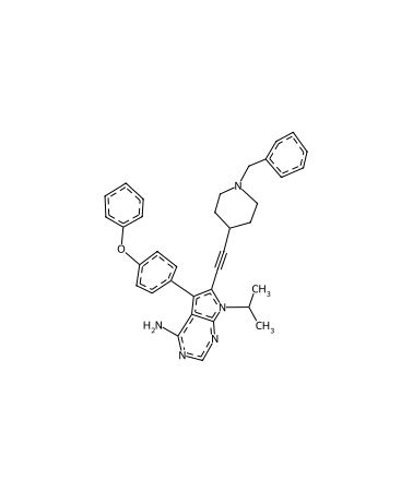 CC(C)n1c(C#CC2CCN(Cc3ccccc3)CC2)c(-c2ccc(Oc3ccccc3)cc2)c2c(N)ncnc21